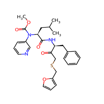 COC(=O)N(c1cccnc1)[C@@H](CC(C)C)C(=O)N[C@@H](Cc1ccccc1)C(=O)CSCc1ccco1